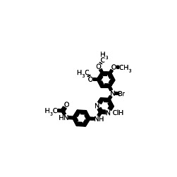 COc1cc(N(Br)c2cnc(Nc3ccc(NC(C)=O)cc3)nc2)cc(OC)c1OC.Cl